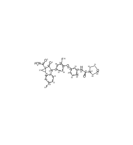 NC(=O)C1(C(=O)N(c2ccc(F)cc2)c2ccc(Oc3ccnc(NC(=O)N4CCOCC4)c3)c(F)c2)CC1